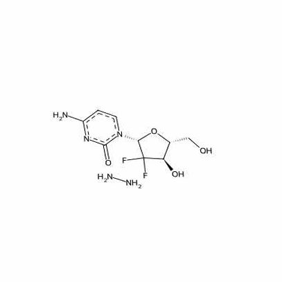 NN.Nc1ccn([C@@H]2O[C@H](CO)[C@@H](O)C2(F)F)c(=O)n1